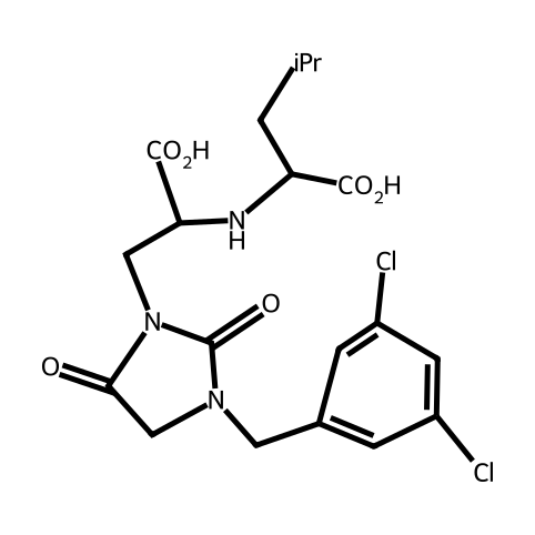 CC(C)CC(NC(CN1C(=O)CN(Cc2cc(Cl)cc(Cl)c2)C1=O)C(=O)O)C(=O)O